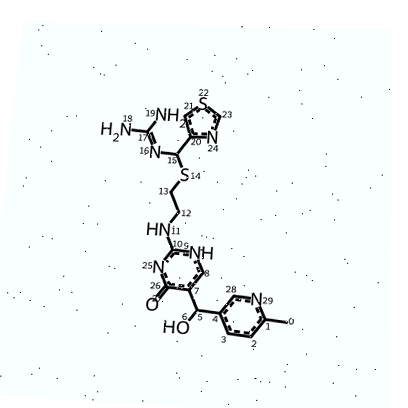 Cc1ccc(C(O)c2c[nH]c(NCCSC(N=C(N)N)c3cscn3)nc2=O)cn1